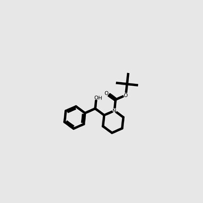 CC(C)(C)OC(=O)N1CCCCC1C(O)c1ccccc1